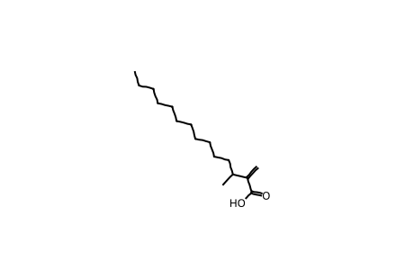 C=C(C(=O)O)C(C)CCCCCCCCCCC